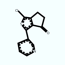 O=C1CCc2c(Cl)sc(-c3cccnc3)c21